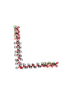 CC[O+](CC)CC.CC[O+](CC)CC.CC[O+](CC)CC.CC[O+](CC)CC.CC[O+](CC)CC.CC[O+](CC)CC.CC[O+](CC)CC.CC[O+](CC)CC.CC[O+](CC)CC.CC[O+](CC)CC.CC[O+](CC)CC.CC[O+](CC)CC.[O]=[Sb]([O-])([O-])[Cl].[O]=[Sb]([O-])([O-])[Cl].[O]=[Sb]([O-])([O-])[Cl].[O]=[Sb]([O-])([O-])[Cl].[O]=[Sb]([O-])([O-])[Cl].[O]=[Sb]([O-])([O-])[Cl]